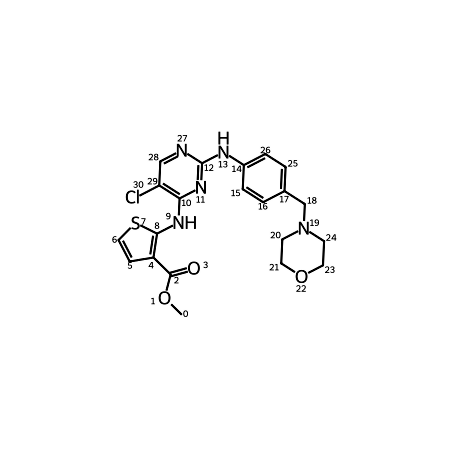 COC(=O)c1ccsc1Nc1nc(Nc2ccc(CN3CCOCC3)cc2)ncc1Cl